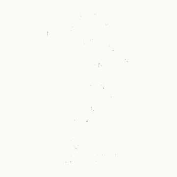 COc1ccc(N2CCN(c3cncc(-c4cccc(C#N)c4)n3)CC2)cc1OC